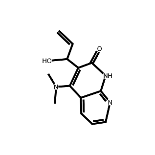 C=CC(O)c1c(N(C)C)c2cccnc2[nH]c1=O